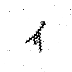 CCCCCCCCCCC(CCCCC1CCO1)OC(CCCCCCCCCC)CCCCC1CCO1